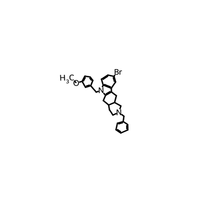 COc1cccc(Cn2c3c(c4cc(Br)ccc42)CC2CN(Cc4ccccc4)CCC2C3)c1